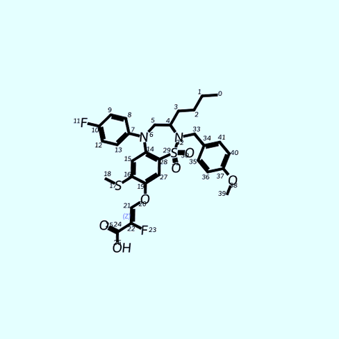 CCCCC1CN(c2ccc(F)cc2)c2cc(SC)c(O/C=C(\F)C(=O)O)cc2S(=O)(=O)N1Cc1ccc(OC)cc1